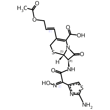 CC(=O)OC/C=C/C1=C(C(=O)O)N2C(=O)[C@@H](NC(=O)/C(=N\O)c3csc(N)n3)[C@@H]2SC1